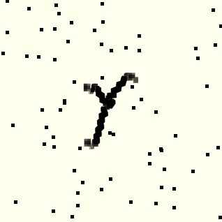 CCCCCCCCCCC[n+]1ccn(CCCCCCCC)c1CCCCC